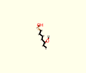 CCC(CCCCSO)OC